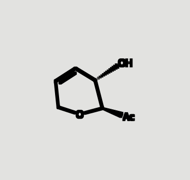 CC(=O)[C@H]1OCC=C[C@@H]1O